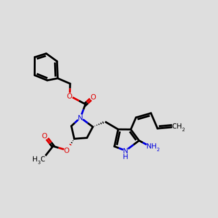 C=C/C=C\c1c(C[C@@H]2C[C@H](OC(C)=O)CN2C(=O)OCc2ccccc2)c[nH]c1N